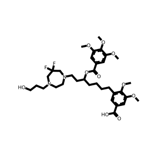 COc1cc(C(=O)O)cc(CCCCC(CCN2CCN(CCCO)CC(F)(F)C2)OC(=O)c2cc(OC)c(OC)c(OC)c2)c1OC